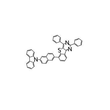 c1ccc(-c2nc(-c3ccccc3)c3sc4c(-c5ccc6cc(-n7c8ccccc8c8ccccc87)ccc6c5)cccc4c3n2)cc1